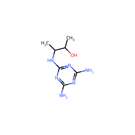 CC(O)C(C)Nc1nc(N)nc(N)n1